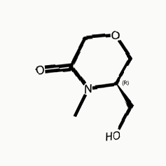 CN1C(=O)COC[C@H]1CO